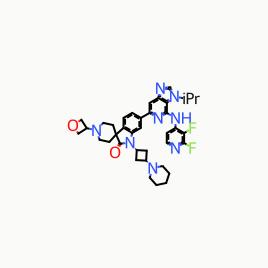 CC(C)n1cnc2cc(-c3ccc4c(c3)N([C@H]3C[C@@H](N5CCCCC5)C3)C(=O)C43CCN(C4COC4)CC3)nc(Nc3ccnc(F)c3F)c21